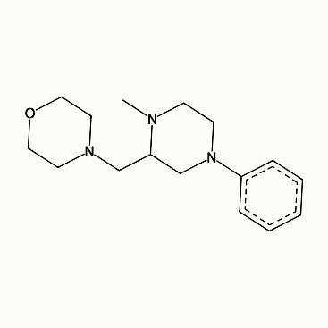 CN1CCN(c2ccccc2)CC1CN1CCOCC1